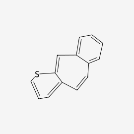 C1=CSC2=Cc3ccccc3C=CC2=C1